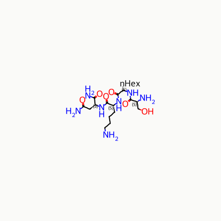 CCCCCC[C@H](NC(=O)[C@@H](N)CO)C(=O)N[C@@H](CCCCN)C(=O)N[C@@H](CC(N)=O)C(N)=O